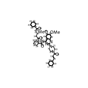 COc1cc2nc(N3CCN(C(=O)C=Cc4ccccc4)CC3)nc(NC(=O)C3CSCN3C(=O)CCSC(=O)c3ccccc3)c2cc1OC